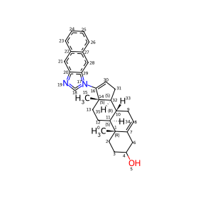 C[C@]12CCC(O)CC1=CC[C@@H]1[C@@H]2CC[C@]2(C)C(n3cnc4cc5ccccc5cc43)=CC[C@@H]12